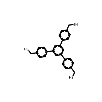 SCc1ccc(-c2cc(-c3ccc(CS)cc3)cc(-c3ccc(CS)cc3)c2)cc1